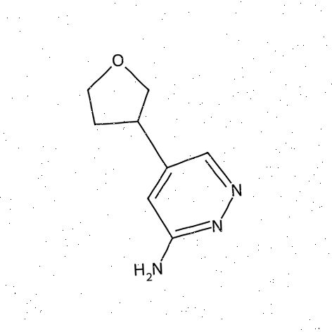 Nc1cc(C2CCOC2)cnn1